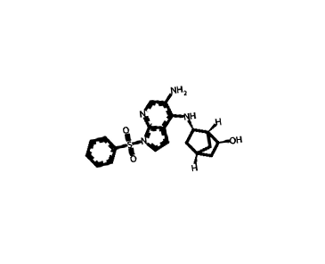 Nc1cnc2c(ccn2S(=O)(=O)c2ccccc2)c1N[C@@H]1C[C@@H]2C[C@H]1[C@@H](O)C2